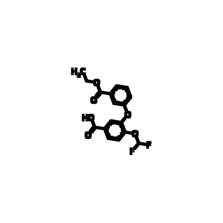 CCOC(=O)c1cccc(Oc2cc(C(=O)O)ccc2OC(F)F)c1